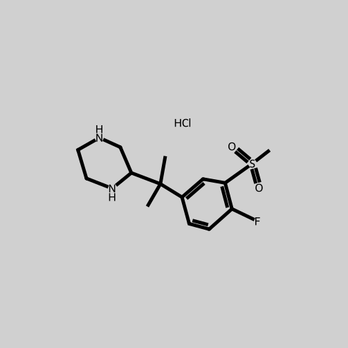 CC(C)(c1ccc(F)c(S(C)(=O)=O)c1)C1CNCCN1.Cl